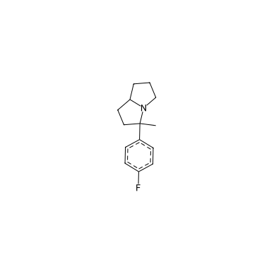 CC1(c2ccc(F)cc2)CCC2CCCN21